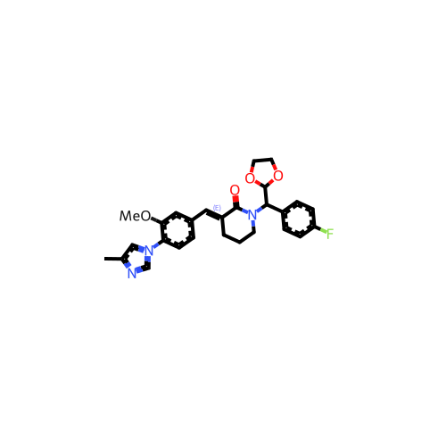 COc1cc(/C=C2\CCCN(C(c3ccc(F)cc3)C3OCCO3)C2=O)ccc1-n1cnc(C)c1